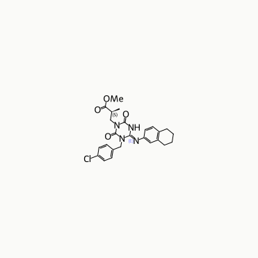 COC(=O)[C@@H](C)Cn1c(=O)[nH]/c(=N\c2ccc3c(c2)CCCC3)n(Cc2ccc(Cl)cc2)c1=O